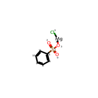 O=S(=O)([O][Mg][Cl])c1ccccc1